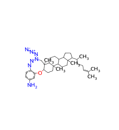 CC(C)=CCCC(C)C1CCC2C3CCC4C5(C)CN(N=[N+]=[N-])N=Nc6ccc(N)cc6OC5CCC4(C)C3CCC12C